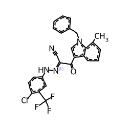 Cc1cccc2c(C(=O)/C(C#N)=N/Nc3ccc(Cl)c(C(F)(F)F)c3)cn(Cc3ccccc3)c12